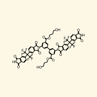 O=C(OCCCO)c1cc(-c2cc(C(=O)OCCCO)cc(N3C(=O)c4ccc(C(c5ccc6c(c5)C(=O)NC6=O)(C(F)(F)F)C(F)(F)F)cc4C3=O)c2)cc(N2C(=O)c3ccc(C(c4ccc5c(c4)C(=O)NC5=O)(C(F)(F)F)C(F)(F)F)cc3C2=O)c1